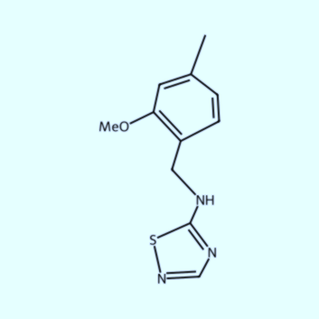 COc1cc(C)ccc1CNc1ncns1